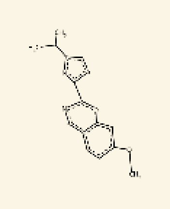 COc1ccc2[c]nc(-c3nc(C(C)C)cs3)nc2c1